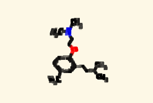 CC(C)=CCc1cc(C)ccc1OCCN(C)C